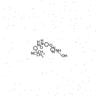 CC(C)(C#N)c1cccc(NC(=O)Nc2ccc(Oc3ccnc(NCCCO)n3)cc2)c1